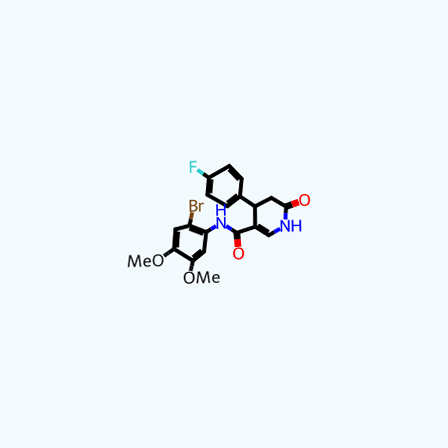 COc1cc(Br)c(NC(=O)C2=CNC(=O)CC2c2ccc(F)cc2)cc1OC